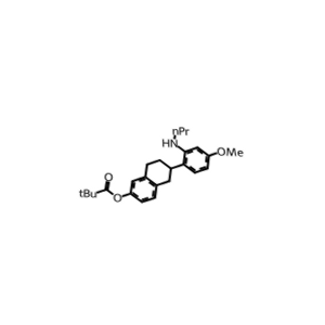 CCCNc1cc(OC)ccc1C1CCc2cc(OC(=O)C(C)(C)C)ccc2C1